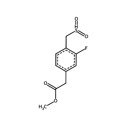 COC(=O)Cc1ccc(C[SH](=O)=O)c(F)c1